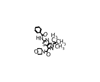 CC(C)(C)n1nc(C(=O)N2CCOCC2)c2sc(NC(=O)c3ccccc3)nc21